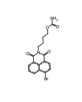 NC(=O)OCCCCN1C(=O)c2cccc3c(Br)ccc(c23)C1=O